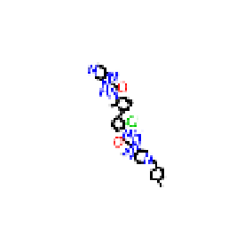 Cc1c(NC(=O)c2nc3c(n2C)CCN(C)C3)cccc1-c1cccc(NC(=O)c2nc3c(n2C)CCN(CC2CCC(C)CC2)C3)c1Cl